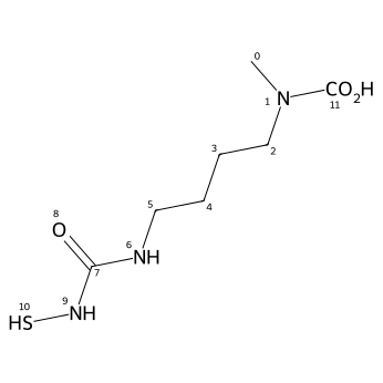 CN(CCCCNC(=O)NS)C(=O)O